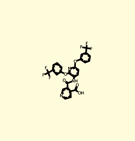 O=C(O)c1ccncc1C(=O)Nc1ccc(Oc2cccc(C(F)(F)F)c2)nc1Oc1cccc(C(F)(F)F)c1